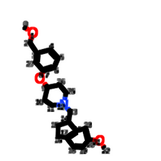 COCc1cccc(OC2CCN(CC3CCc4ccc(OC)cc43)CC2)c1